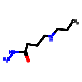 CCCNCCCC(=O)NN